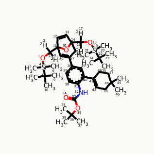 [2H]C([2H])(O[Si](C)(C)C(C)(C)C)C12C=CC(C([2H])([2H])O[Si](C)(C)C(C)(C)C)(CC(c3ccc(NC(=O)OC(C)(C)C)c(C4=CCC(C)(C)CC4)c3)=C1)O2